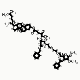 COC1C2OC(c3ccccc3)OC(COCCOCCNC(=O)C(CC(=O)OCc3ccccc3)NC(C)C(=O)CCC(=O)OC3CC[C@@]4(C)C(=CC[C@@]5(C)[C@@H]6CC[C@H]([C@@H](C)CCCC(C)C)[C@@]6(C)CC[C@@H]54)C3)[C@H]2O[C@@H]1OC